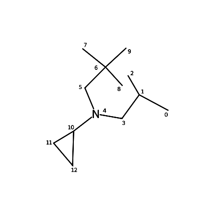 CC(C)CN(CC(C)(C)C)C1CC1